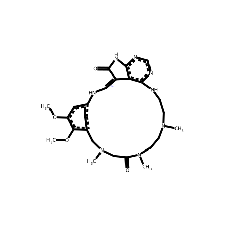 COc1cc2cc(c1OC)CN(C)CC(=O)N(C)CCN(C)CCNc1ncnc3c1/C(=C/N2)C(=O)N3